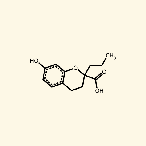 CCCC1(C(=O)O)CCc2ccc(O)cc2O1